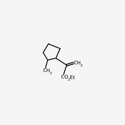 C=C(C(=O)OCC)C1CCCC1C